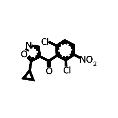 O=C(c1cnoc1C1CC1)c1c(Cl)ccc([N+](=O)[O-])c1Cl